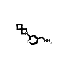 NCc1ccnc(N2CC3(CCC3)C2)c1